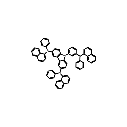 c1ccc(N(c2cccc(-n3c4ccc(N(c5ccccc5)c5cccc6ccccc56)cc4c4cc(N(c5ccccc5)c5cccc6ccccc56)ccc43)c2)c2cccc3ccccc23)cc1